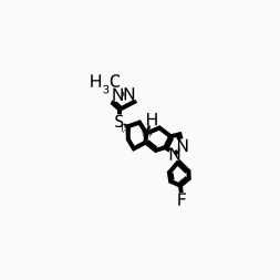 Cn1cc(S[C@H]2CCC3=Cc4c(cnn4-c4ccc(F)cc4)C[C@H]3C2)cn1